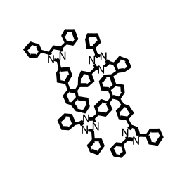 c1ccc(-c2cc(-c3ccc(-c4ccc5c(-c6ccccc6-c6nc(-c7ccccc7)nc(-c7ccc(-c8c(-c9ccc(-c%10nc(-c%11ccccc%11)cc(-c%11ccccc%11)n%10)cc9)ccc9ccccc89)cc7)n6)cccc5c4-c4ccc(-c5nc(-c6ccccc6)nc(-c6ccccc6)n5)cc4)cc3)nc(-c3ccccc3)n2)cc1